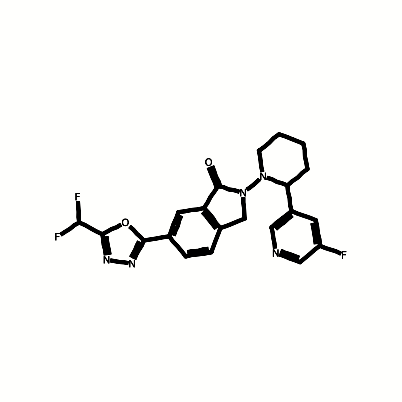 O=C1c2cc(-c3nnc(C(F)F)o3)ccc2CN1N1CCCCC1c1cncc(F)c1